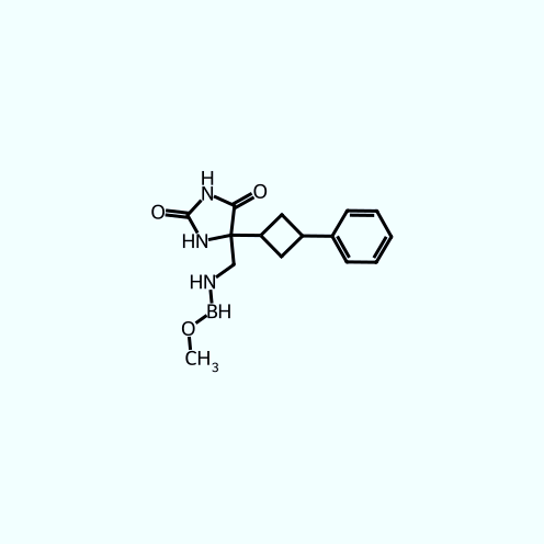 COBNCC1(C2CC(c3ccccc3)C2)NC(=O)NC1=O